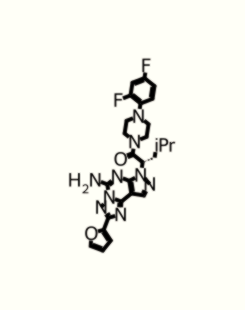 CC(C)C[C@@H](C(=O)N1CCN(c2ccc(F)cc2F)CC1)n1ncc2c1nc(N)n1nc(-c3ccco3)nc21